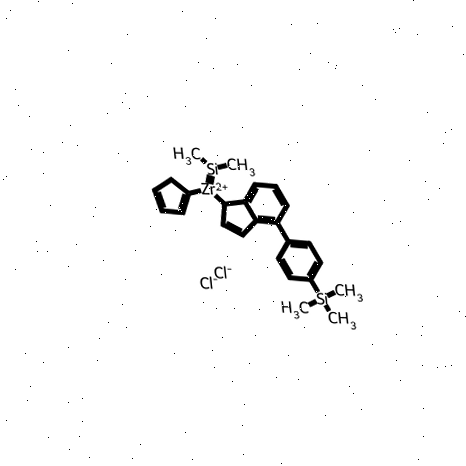 C[Si](C)=[Zr+2]([C]1=CC=CC1)[CH]1C=Cc2c(-c3ccc([Si](C)(C)C)cc3)cccc21.[Cl-].[Cl-]